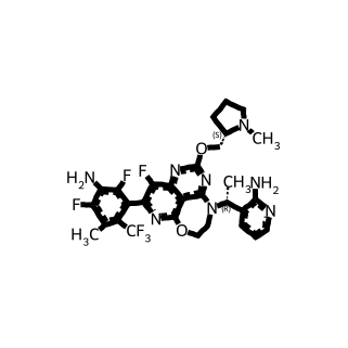 Cc1c(F)c(N)c(F)c(-c2nc3c4c(nc(OC[C@@H]5CCCN5C)nc4c2F)N([C@H](C)c2cccnc2N)CCO3)c1C(F)(F)F